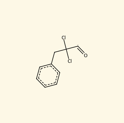 O=[C]C(Cl)(Cl)Cc1ccccc1